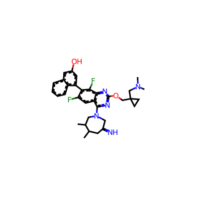 CC1CC(=N)CN(c2nc(OCC3(CN(C)C)CC3)nc3c(F)c(-c4cc(O)cc5ccccc45)c(F)cc23)CC1C